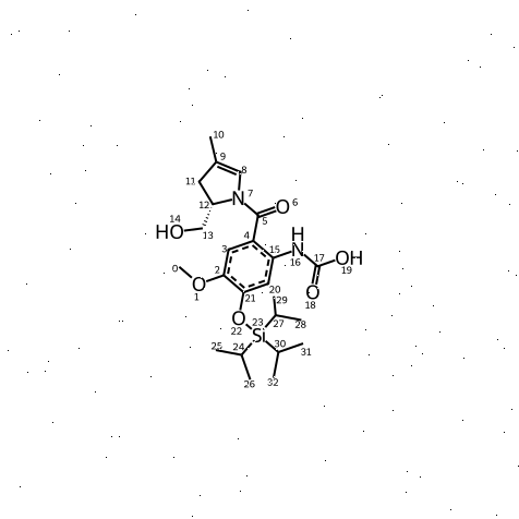 COc1cc(C(=O)N2C=C(C)C[C@H]2CO)c(NC(=O)O)cc1O[Si](C(C)C)(C(C)C)C(C)C